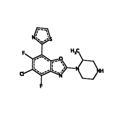 CC1CNCCN1c1nc2c(F)c(Cl)c(F)c(-c3nccs3)c2o1